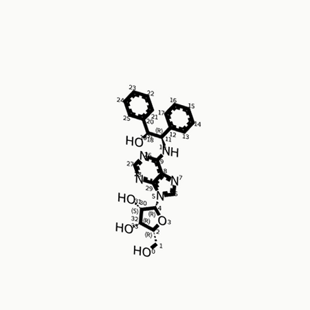 OC[C@H]1O[C@@H](n2cnc3c(N[C@H](c4ccccc4)[C@@H](O)c4ccccc4)ncnc32)[C@@H](O)[C@H]1O